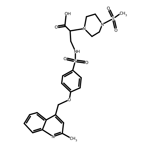 Cc1cc(COc2ccc(S(=O)(=O)NCC(C(=O)O)N3CCN(S(C)(=O)=O)CC3)cc2)c2ccccc2n1